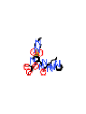 CCCc1c2nc(-c3cc(S(=O)(=O)N4CCN(CC)CC4)cnc3OC(COC)COC)n(C)c(=O)c2nn1-c1ccccn1